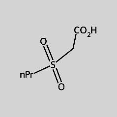 [CH2]CCS(=O)(=O)CC(=O)O